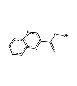 O=C(OO)c1cnc2ccccc2n1